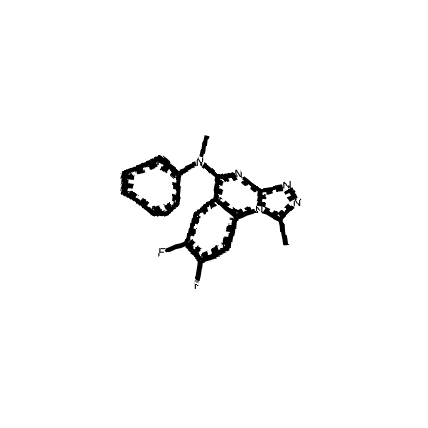 Cc1nnc2nc(N(C)c3ccccc3)c3cc(F)c(F)cc3n12